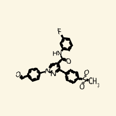 CS(=O)(=O)c1ccc(-c2nn(-c3ccc(C=O)cc3)cc2C(=O)Nc2cccc(F)c2)cc1